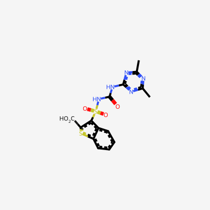 Cc1nc(C)nc(NC(=O)NS(=O)(=O)c2c(C(=O)O)sc3ccccc23)n1